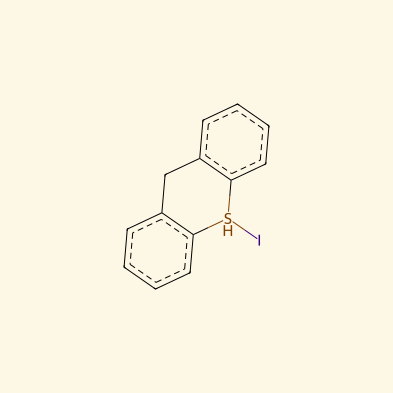 I[SH]1c2ccccc2Cc2ccccc21